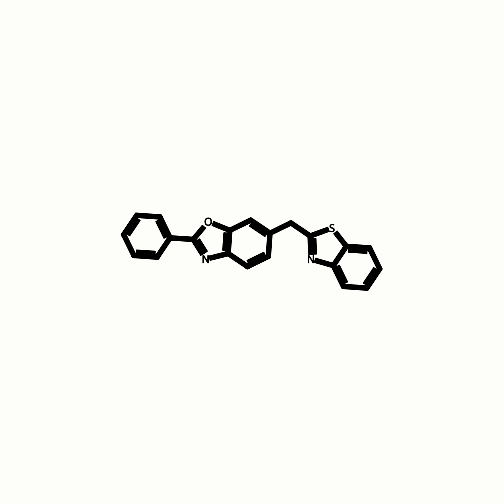 c1ccc(-c2nc3ccc(Cc4nc5ccccc5s4)cc3o2)cc1